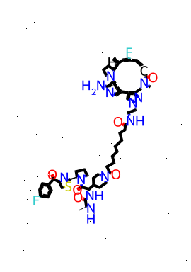 C=C1/C=C(F)\C=C/CC(=O)N(C)Cc2nn(CCNC(=O)CCCCCCCCC(=O)N3CCC([C@@H](NC(=O)[C@@H](C)NC)C(=O)N4CCC[C@@H]4C4=NC(C(=O)c5ccc(F)cc5)CS4)CC3)cc2-c2cnc(N)c(c2)N2CCC[C@H]12